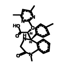 Cc1ccc([C@]2([C@H](Oc3nc(C)cc(C)n3)C(=O)O)NCC(=O)N(C)c3ccccc32)cc1